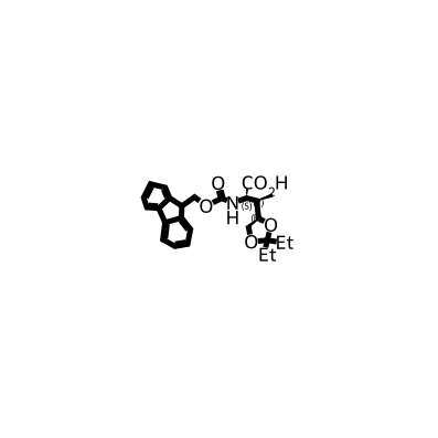 CCC1(CC)OC[C@@H]([C@H](C)[C@H](NC(=O)OCC2c3ccccc3-c3ccccc32)C(=O)O)O1